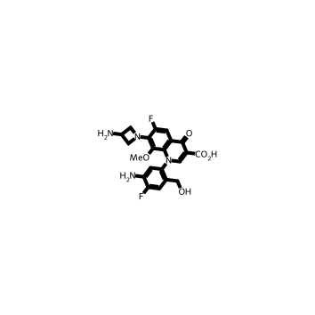 COc1c(N2CC(N)C2)c(F)cc2c(=O)c(C(=O)O)cn(-c3cc(N)c(F)cc3CO)c12